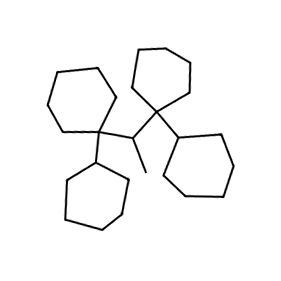 CC(C1(C2CCCCC2)CCCCC1)C1(C2CCCCC2)CCCCC1